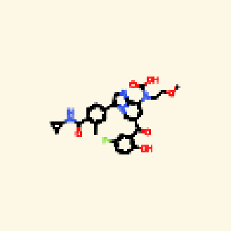 COCCN(C(=O)O)c1cc(C(=O)c2cc(F)ccc2O)cn2c(-c3ccc(C(=O)NC4CC4)c(C)c3)cnc12